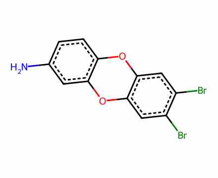 Nc1ccc2c(c1)Oc1cc(Br)c(Br)cc1O2